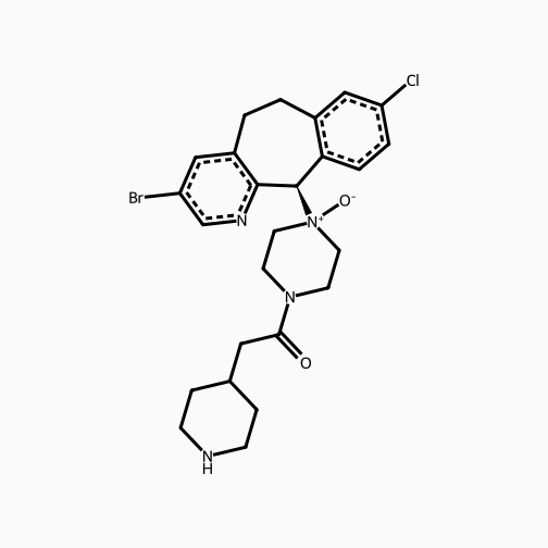 O=C(CC1CCNCC1)N1CC[N+]([O-])([C@@H]2c3ccc(Cl)cc3CCc3cc(Br)cnc32)CC1